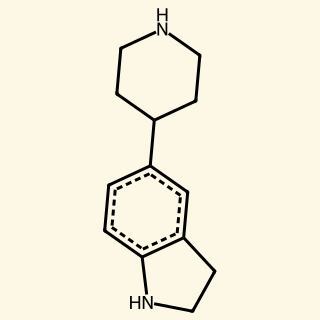 c1cc2c(cc1C1CCNCC1)CCN2